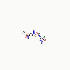 O=C(NC1CCC(NS(=O)(=O)CCC(F)(F)F)CC1)O[C@@H]1CCN(c2cn[nH]c(=O)c2Cl)C1